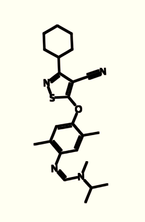 Cc1cc(Oc2snc(C3CCCCC3)c2C#N)c(C)cc1/N=C\N(C)C(C)C